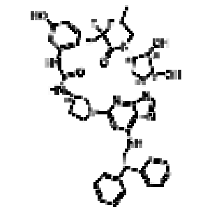 CCCN(C(=O)C(F)(F)F)[C@H]1C[C@@H](n2cnc3c(NCC(c4ccccc4)c4ccccc4)nc(N4CC[C@@H](NC(=O)Nc5cccc(O)c5)C4)nc32)[C@H](O)[C@@H]1O